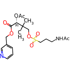 CC(=O)NCCCS(=O)(=O)OCC(C)(C)[C@@H](OC(C)=O)C(=O)OCc1cccnc1